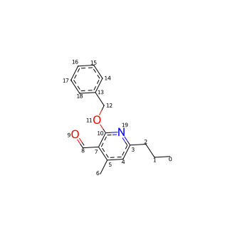 CCCc1cc(C)c(C=O)c(OCc2ccccc2)n1